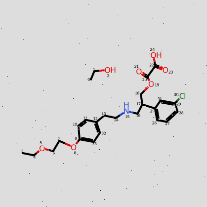 CCO.CCOCCOc1ccc(CCNCC(COC(=O)C(=O)O)c2cccc(Cl)c2)cc1